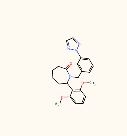 COc1cccc(OC)c1C1CCCCC(=O)N1Cc1cccc(-n2nccn2)c1